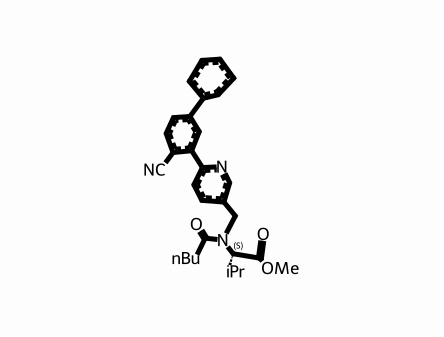 CCCCC(=O)N(Cc1ccc(-c2cc(-c3ccccc3)ccc2C#N)nc1)[C@H](C(=O)OC)C(C)C